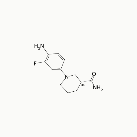 NC(=O)[C@@H]1CCCN(c2ccc(N)c(F)c2)C1